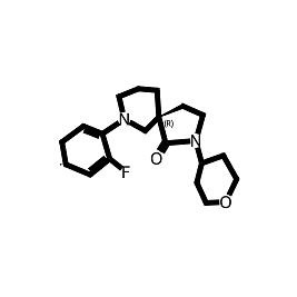 O=C1N(C2CCOCC2)CC[C@@]12CCCN(C1=CC[CH]C=C1F)C2